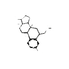 C[C@]12CC[C@@H]3c4ccc(O)cc4C(CON)C[C@H]3[C@@H]1CCC2O